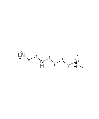 C[SiH](C)CCCCNCCN